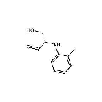 Cc1ccccc1N[C@H]([C]=O)CO